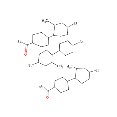 CCC(=O)C1CCC(C2CCC(CC)CC2C)CC1.CCC1CCC(C2CCC(C(C)=O)CC2)C(C)C1.CCCC(=O)C1CCC(C2CCC(CC)CC2C)CC1